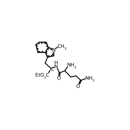 CCOC(=O)[C@@H](Cc1cn(C)c2ccccc12)NC(=O)C(N)CCC(N)=O